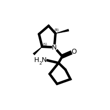 C[C@@H]1CC[C@H](C)N1C(=O)C1(N)CCCC1